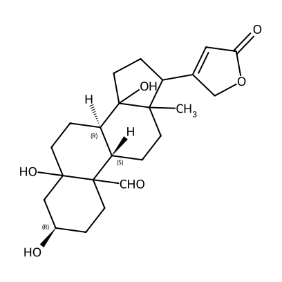 CC12CC[C@H]3[C@@H](CCC4(O)C[C@H](O)CCC34C=O)C1(O)CCC2C1=CC(=O)OC1